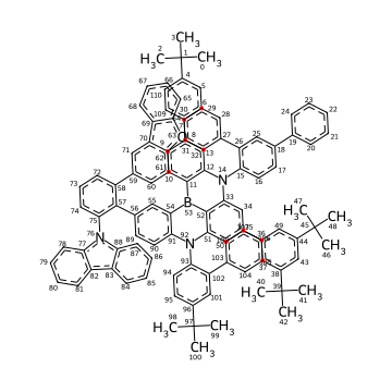 CC(C)(C)c1ccc(-c2ccc3c(c2)N(c2ccc(-c4ccccc4)cc2-c2ccccc2)c2cc(-c4cc(C(C)(C)C)cc(C(C)(C)C)c4)cc4c2B3c2cc(-c3c(-c5ccc6oc7ccccc7c6c5)cccc3-n3c5ccccc5c5ccccc53)ccc2N4c2ccc(C(C)(C)C)cc2-c2ccccc2)cc1